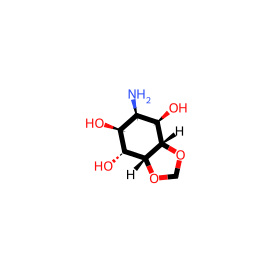 N[C@H]1[C@@H](O)[C@@H]2OCO[C@@H]2[C@H](O)[C@H]1O